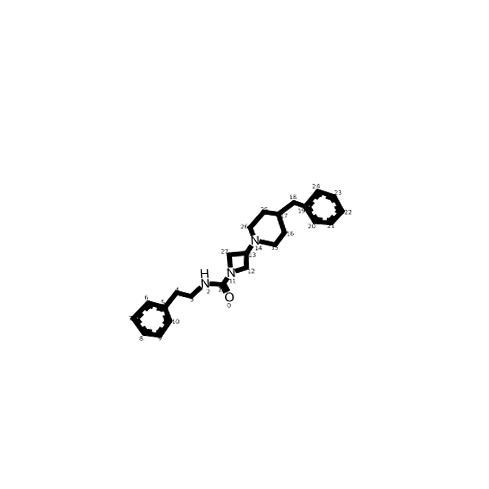 O=C(NCCc1ccccc1)N1CC(N2CCC(Cc3ccccc3)CC2)C1